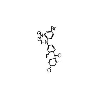 COc1ccc(C(=O)c2ccc(Nc3ccc(Br)cc3[N+](=O)[O-])cc2F)c(C)c1